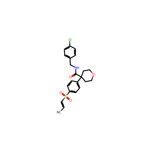 N#CC=CS(=O)(=O)c1ccc(C2(C(=O)NCc3ccc(Cl)cc3)CCOCC2)cc1